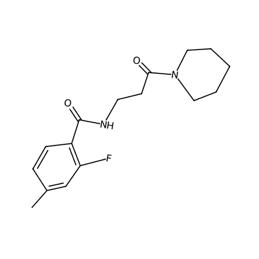 Cc1ccc(C(=O)NCCC(=O)N2CCCCC2)c(F)c1